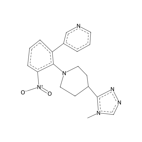 Cn1cnnc1C1CCN(c2c(-c3cccnc3)cccc2[N+](=O)[O-])CC1